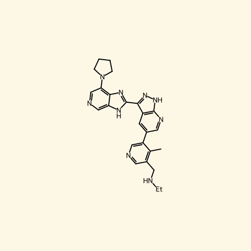 CCNCc1cncc(-c2cnc3[nH]nc(-c4nc5c(N6CCCC6)cncc5[nH]4)c3c2)c1C